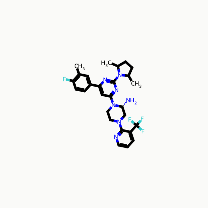 Cc1cc(-c2cc(N3CCN(c4ncccc4C(F)(F)F)C[C@H]3N)nc(N3C(C)CCC3C)n2)ccc1F